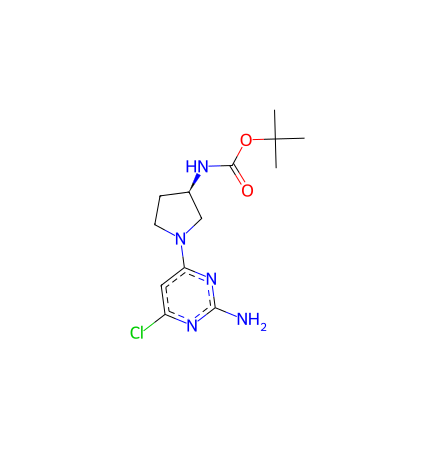 CC(C)(C)OC(=O)N[C@@H]1CCN(c2cc(Cl)nc(N)n2)C1